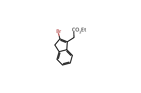 CCOC(=O)CC1=C(Br)Cc2ccccc21